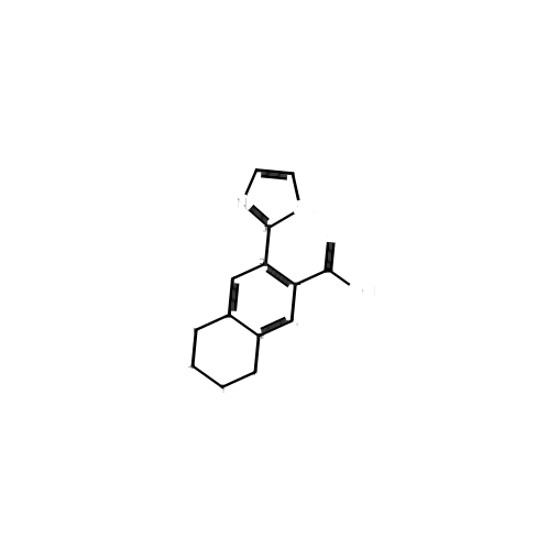 O=C(O)c1cc2c(cc1-c1nccs1)CCCC2